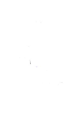 CNCCCCN1CC[C@@H](CNC(=O)c2cc(Cl)c(OC)c3c2OCCO3)[C@H](O)C1